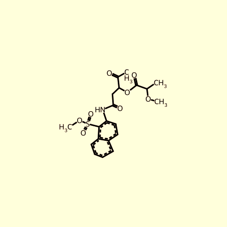 COC(C)C(=O)OC(CC(=O)Nc1ccc2ccccc2c1S(=O)(=O)OC)C(C)=O